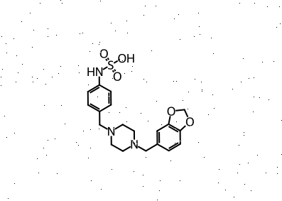 O=S(=O)(O)Nc1ccc(CN2CCN(Cc3ccc4c(c3)OCO4)CC2)cc1